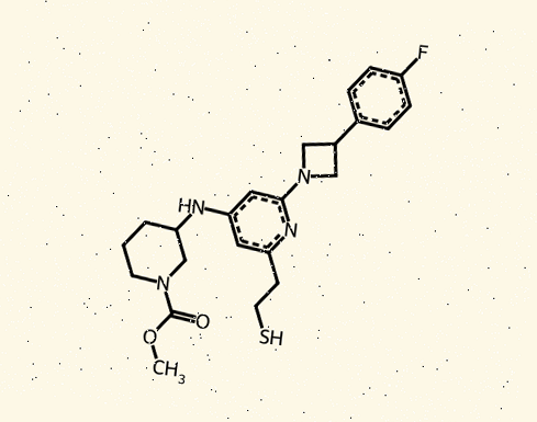 COC(=O)N1CCCC(Nc2cc(CCS)nc(N3CC(c4ccc(F)cc4)C3)c2)C1